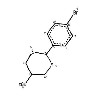 CC(C)(C)C1CSC(c2ccc(Br)cc2)SC1